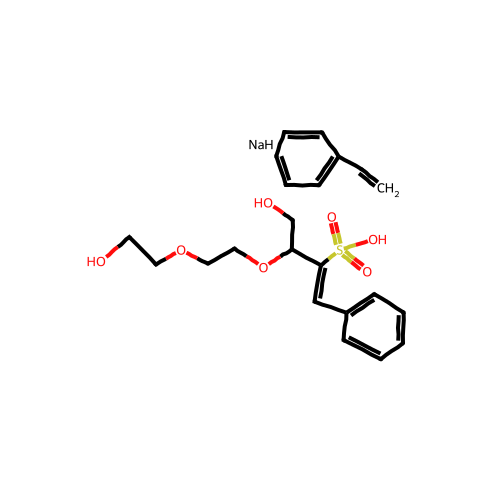 C=Cc1ccccc1.O=S(=O)(O)C(=Cc1ccccc1)C(CO)OCCOCCO.[NaH]